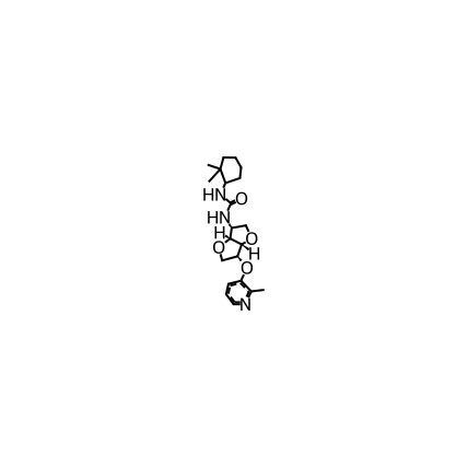 Cc1ncccc1O[C@H]1CO[C@H]2[C@@H]1OC[C@@H]2NC(=O)NC1CCCCC1(C)C